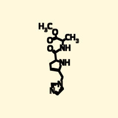 COC(=O)C(C)NC(=O)C1CC=C(Cn2ccnc2)N1